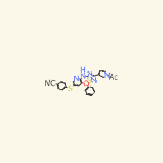 CC(=O)N1CCC(c2nsc(Nc3ncc(Sc4ccc(C#N)cc4)cc3Oc3ccccc3)n2)C1